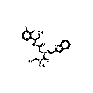 CC(C)CN(C)C(=O)N(CC(=O)NC(CO)c1cccc(Cl)c1F)/N=C/c1cc2ccccc2s1